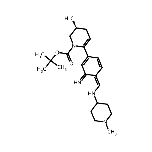 C[C@H]1CC=C(C2=CC(=N)/C(=C\NC3CCN(C)CC3)C=C2)N(C(=O)OC(C)(C)C)C1